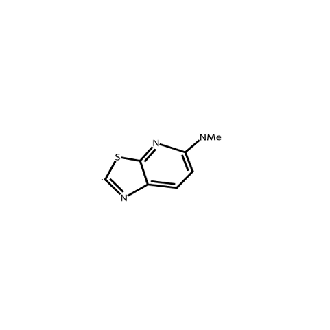 CNc1ccc2n[c]sc2n1